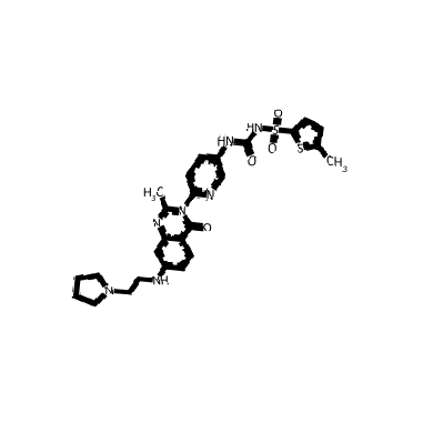 Cc1ccc(S(=O)(=O)NC(=O)Nc2ccc(-n3c(C)nc4cc(NCCN5CCCC5)ccc4c3=O)nc2)s1